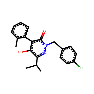 Cc1ccccc1-c1c(O)c(C(C)C)nn(Cc2ccc(Cl)cc2)c1=O